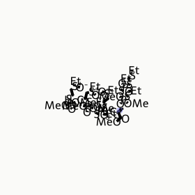 CCOP(=S)(OCC)SCC[S+]([O-])CC.CCOP(=S)(OCC)SCSCC.CC[S+]([O-])CC(C)SP(=O)(OC)OC.CC[S+]([O-])CCSP(=O)(OC)OC.COC(=O)/C(C)=C/OP(=S)(OC)OC